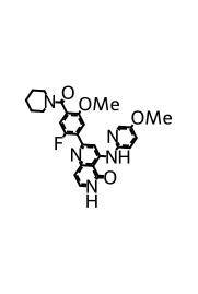 COc1ccc(Nc2cc(-c3cc(OC)c(C(=O)N4CCCCC4)cc3F)nc3cc[nH]c(=O)c23)nc1